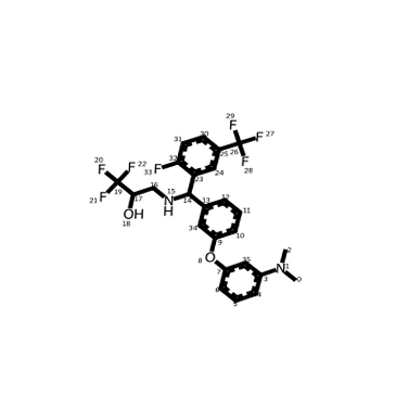 CN(C)c1cccc(Oc2cccc(C(NCC(O)C(F)(F)F)c3cc(C(F)(F)F)ccc3F)c2)c1